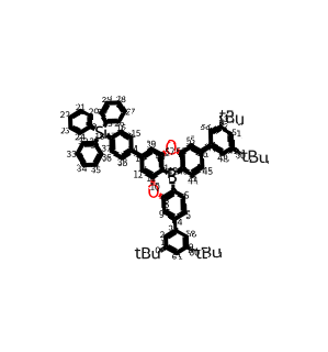 CC(C)(C)c1cc(-c2ccc3c(c2)Oc2cc(-c4ccc([Si](c5ccccc5)(c5ccccc5)c5ccccc5)cc4)cc4c2B3c2ccc(-c3cc(C(C)(C)C)cc(C(C)(C)C)c3)cc2O4)cc(C(C)(C)C)c1